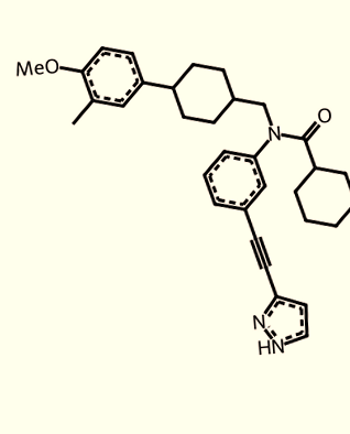 COc1ccc(C2CCC(CN(C(=O)C3CCCCC3)c3cccc(C#Cc4cc[nH]n4)c3)CC2)cc1C